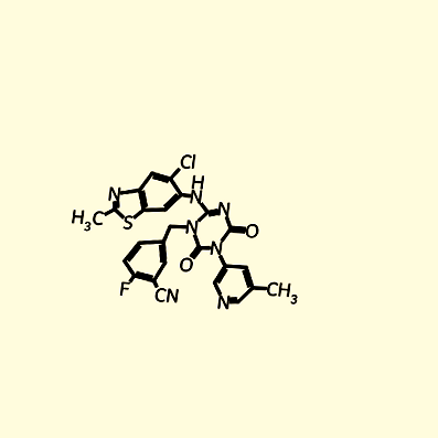 Cc1cncc(-n2c(=O)nc(Nc3cc4sc(C)nc4cc3Cl)n(Cc3ccc(F)c(C#N)c3)c2=O)c1